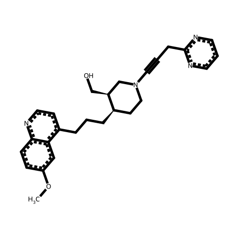 COc1ccc2nccc(CCC[C@@H]3CCN(C#CCc4ncccn4)C[C@@H]3CO)c2c1